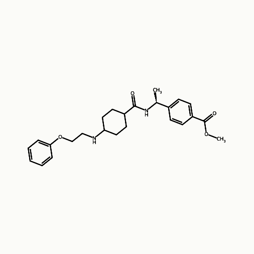 COC(=O)c1ccc([C@H](C)NC(=O)C2CCC(NCCOc3ccccc3)CC2)cc1